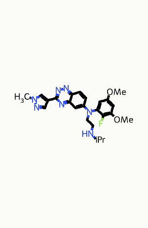 COc1cc(OC)c(F)c(N(CCNC(C)C)c2ccc3nnc(-c4cnn(C)c4)nc3c2)c1